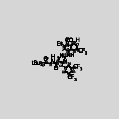 CC[C@@H]1C[C@H](Nc2ncc(C(=O)NCC(=O)OC(C)(C)C)c(Cc3cc(C(F)(F)F)cc(C(F)(F)F)c3)n2)c2cc(C(F)(F)F)ccc2N1C(=O)O